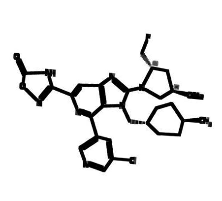 CO[C@@H]1C[C@@H](CF)N(c2nc3cc(-c4noc(=O)[nH]4)nc(-c4cncc(Cl)c4)c3n2C[C@H]2CC[C@H](C)CC2)C1